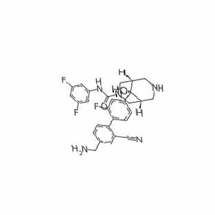 N#Cc1cc(CN)ccc1-c1ccc([C@@]2(O)[C@@H]3CNC[C@H]2CN(C(=O)Nc2cc(F)cc(F)c2)C3)cc1F